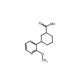 COc1ncccc1N1CCCC(C(=O)O)C1